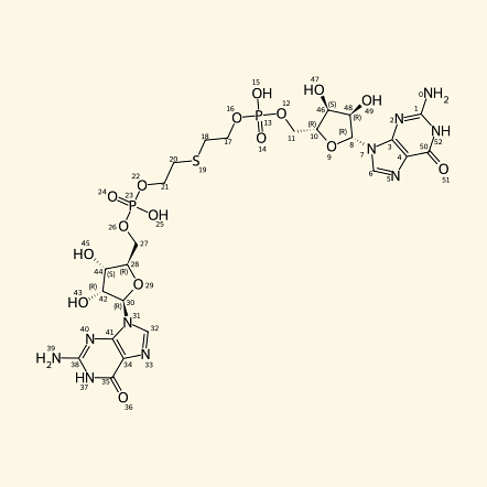 Nc1nc2c(ncn2[C@@H]2O[C@H](COP(=O)(O)OCCSCCOP(=O)(O)OC[C@H]3O[C@@H](n4cnc5c(=O)[nH]c(N)nc54)[C@H](O)[C@@H]3O)[C@@H](O)[C@H]2O)c(=O)[nH]1